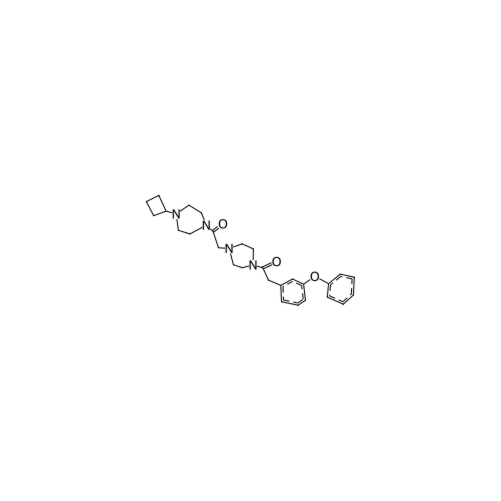 O=C(Cc1cccc(Oc2ccccc2)c1)N1CCN(CC(=O)N2CCN(C3CCC3)CC2)CC1